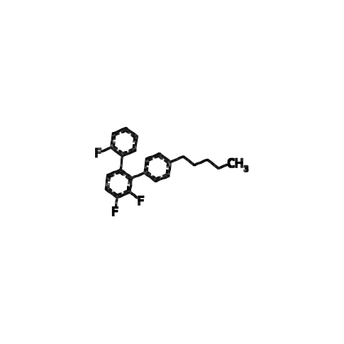 CCCCCc1ccc(-c2c(-c3ccccc3F)ccc(F)c2F)cc1